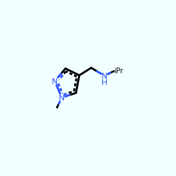 CC(C)NCc1cnn(C)c1